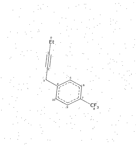 CCC#CCc1c[c]c(C(F)(F)F)cc1